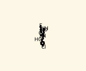 O=c1cc(CF)[nH]c(=O)n1Cc1nc(C[C@H](O)c2ccc(Cl)cc2)no1